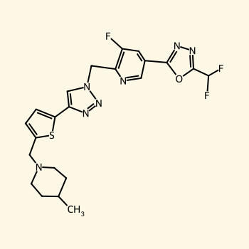 CC1CCN(Cc2ccc(-c3cn(Cc4ncc(-c5nnc(C(F)F)o5)cc4F)nn3)s2)CC1